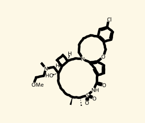 COCCN(C)C[C@]1(O)CCC[C@H](C)[C@@H](C)S(=O)(=O)NC(=O)c2ccc3c(c2)N(CCCCc2cc(Cl)ccc2CO3)C[C@@H]2CC[C@H]21